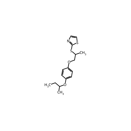 CCC(C)Oc1ccc(OCC(C)Sc2nccs2)cc1